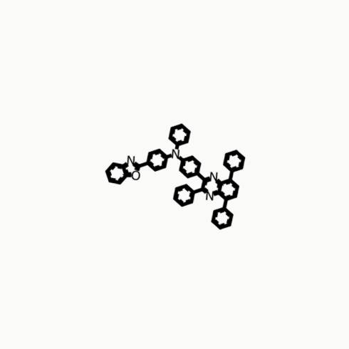 c1ccc(-c2nc3c(-c4ccccc4)ccc(-c4ccccc4)c3nc2-c2ccc(N(c3ccccc3)c3ccc(-c4nc5ccccc5o4)cc3)cc2)cc1